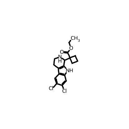 CCOC(=O)C1(C2NCCc3c2[nH]c2cc(Cl)c(Cl)cc32)CCC1